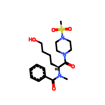 CN(C(=O)c1ccccc1)[C@@H](CCCCO)C(=O)N1CCN(S(C)(=O)=O)CC1